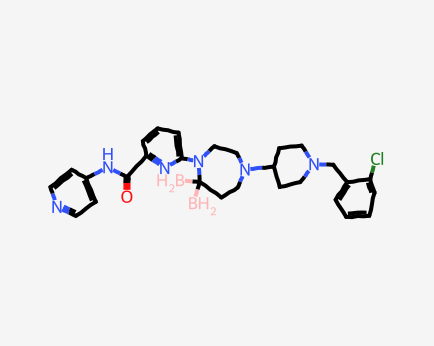 BC1(B)CCN(C2CCN(Cc3ccccc3Cl)CC2)CCN1c1cccc(C(=O)Nc2ccncc2)n1